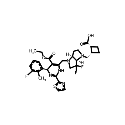 CCOC(=O)C1=C(CN2CC(F)(F)[C@H]3[C@@H]2CCN3C[C@H]2CC[C@H]2C(=O)O)NC(c2nccs2)=N[C@H]1c1cccc(F)c1C